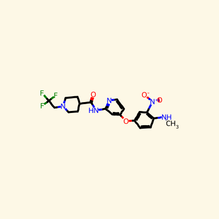 CNc1ccc(Oc2ccnc(NC(=O)C3CCN(CC(F)(F)F)CC3)c2)cc1[N+](=O)[O-]